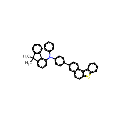 CC1(C)c2ccccc2-c2c(N(c3ccccc3)c3ccc(-c4ccc5c(ccc6sc7ccccc7c65)c4)cc3)cccc21